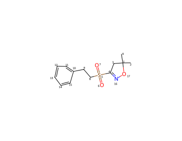 CC1(C)CC(S(=O)(=O)CCc2ccccc2)=NO1